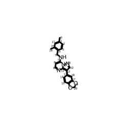 Cc1ccc(CNc2ccnc3c(-c4ccc5c(c4)OCO5)cnn23)c(C)c1